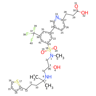 CN(C[C@H](O)CNC(C)(C)CCCc1cccs1)S(=O)(=O)c1cc(-c2ccc(CCC(=O)O)nc2)cc(C(F)(F)F)c1